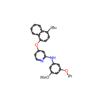 COc1cc(Nc2cc(Oc3ccc(C(C)(C)C)c4ccccc34)ccn2)cc(OC(C)C)c1